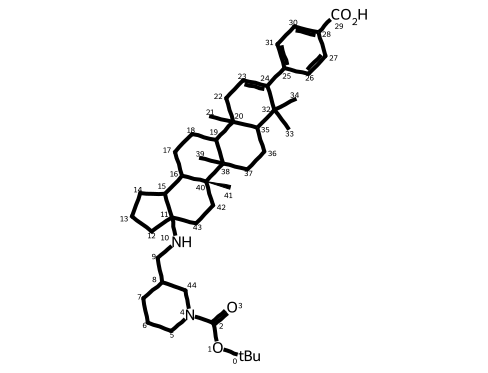 CC(C)(C)OC(=O)N1CCCC(CNC23CCCC2C2CCC4C5(C)CC=C(c6ccc(C(=O)O)cc6)C(C)(C)C5CCC4(C)[C@]2(C)CC3)C1